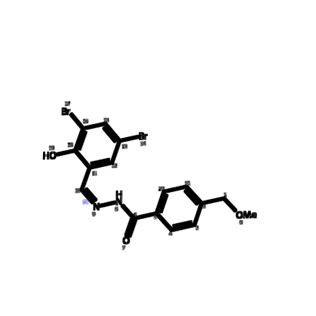 COCc1ccc(C(=O)N/N=C\c2cc(Br)cc(Br)c2O)cc1